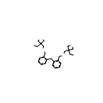 CCC1(COCc2ccccc2Cc2ccccc2COCC2(CC)COC2)COC1